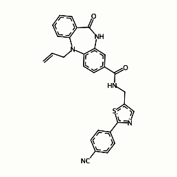 C=CCN1c2ccc(C(=O)NCc3cnc(-c4ccc(C#N)cc4)s3)cc2NC(=O)c2ccccc21